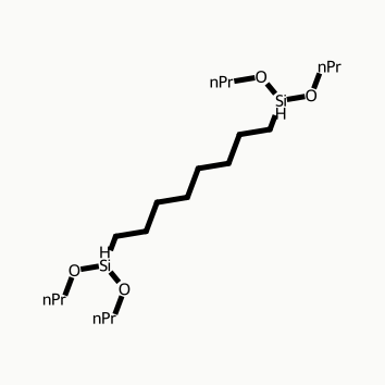 CCCO[SiH](CCCCCCCC[SiH](OCCC)OCCC)OCCC